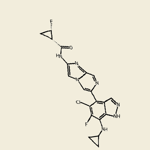 O=C(Nc1cn2cc(-c3c(Cl)c(F)c(NC4CC4)c4[nH]ncc34)ncc2n1)[C@@H]1C[C@@H]1F